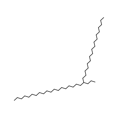 CCCCCCCCCCCCCCCCCCCC(CCC)CCCCCCCCCCCCCCCCCC